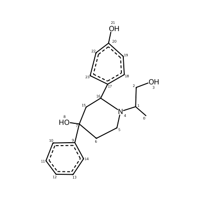 CC(CO)N1CCC(O)(c2ccccc2)CC1c1ccc(O)cc1